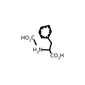 CC(=O)O.NC(Cc1ccccc1)C(=O)O